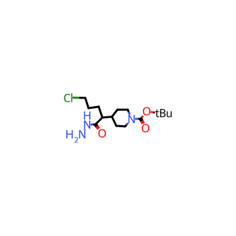 CC(C)(C)OC(=O)N1CCC(C(CCCCl)C(=O)NN)CC1